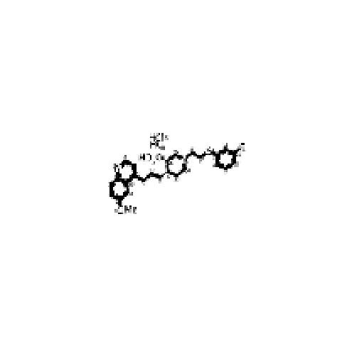 COc1ccc2nccc(CCC[C@@H]3CCN(CCSc4cccc(F)c4)C[C@@H]3C(=O)O)c2c1.Cl.Cl